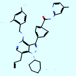 C=CCc1cnc(NCc2ccc(OC)cc2OC)c2c(-c3ccc(C(=O)Nc4cc(C(F)(F)F)ccn4)cc3)nn([C@@H]3CCC[C@@H](C(=O)O)C3)c12